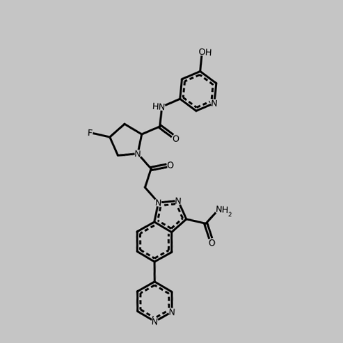 NC(=O)c1nn(CC(=O)N2CC(F)CC2C(=O)Nc2cncc(O)c2)c2ccc(-c3ccnnc3)cc12